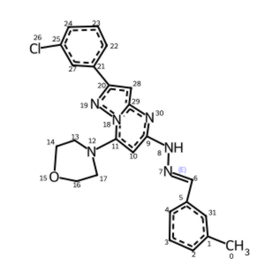 Cc1cccc(/C=N/Nc2cc(N3CCOCC3)n3nc(-c4cccc(Cl)c4)cc3n2)c1